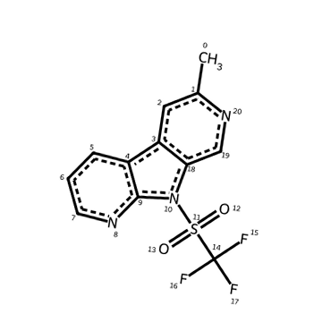 Cc1cc2c3cccnc3n(S(=O)(=O)C(F)(F)F)c2cn1